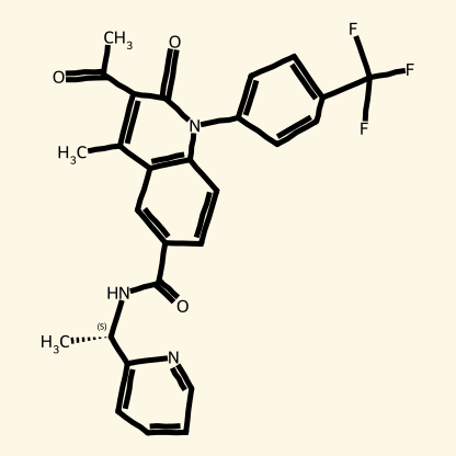 CC(=O)c1c(C)c2cc(C(=O)N[C@@H](C)c3ccccn3)ccc2n(-c2ccc(C(F)(F)F)cc2)c1=O